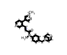 Cn1cc(-c2ccncc2/C=C/C(=O)N(N)c2ccc(CN3C4COCC3C4)cc2)cn1